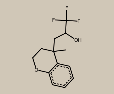 CC1(CC(O)C(F)(F)F)CCOc2ccccc21